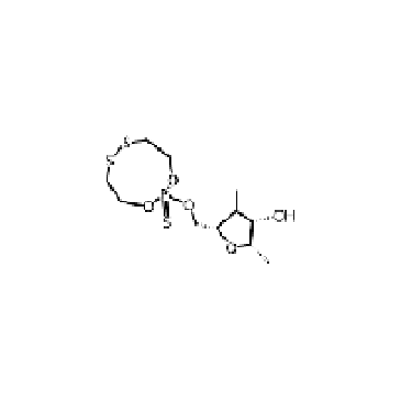 CC1[C@@H](COP2(=S)OCCSSCCO2)O[C@@H](C)[C@H]1O